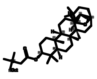 CCCCCCCC[N+](C)(C)CC(=O)O[C@H]1CC[C@]2(C)[C@H]3CC[C@@H]4[C@H]5[C@H]6O[C@@]5(CCC6(C)C)CC[C@@]4(C)[C@]3(C)CC[C@H]2C1(C)C